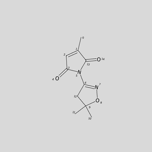 CC1=CC(=O)N(C2=NOC(C)(C)C2)C1=O